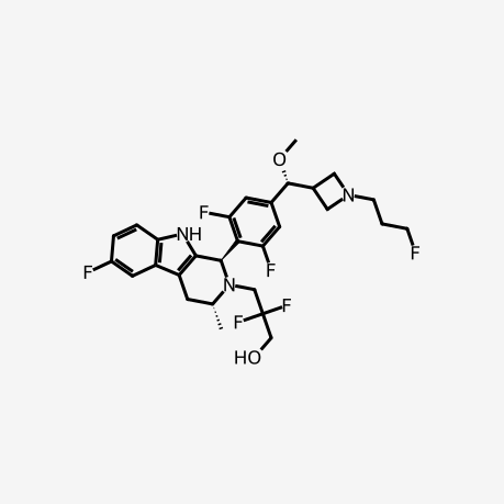 CO[C@@H](c1cc(F)c([C@@H]2c3[nH]c4ccc(F)cc4c3C[C@@H](C)N2CC(F)(F)CO)c(F)c1)C1CN(CCCF)C1